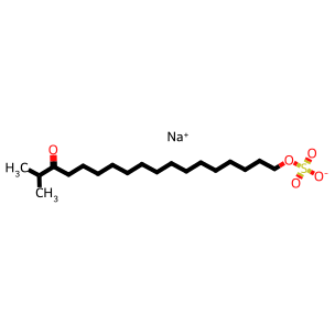 CC(C)C(=O)CCCCCCCCCCCCCCCOS(=O)(=O)[O-].[Na+]